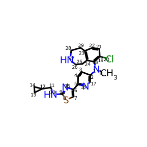 CN(c1ccc(-c2csc(NCC3CC3)n2)nc1)c1c(Cl)ccc2c1CCNCC2